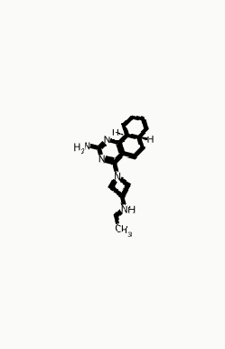 CCNC1CN(c2nc(N)nc3c2CC[C@H]2CCCC[C@H]32)C1